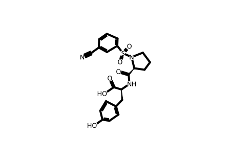 N#Cc1cccc(S(=O)(=O)N2CCC[C@H]2C(=O)N[C@@H](Cc2ccc(O)cc2)C(=O)O)c1